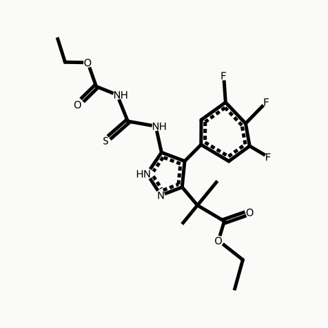 CCOC(=O)NC(=S)Nc1[nH]nc(C(C)(C)C(=O)OCC)c1-c1cc(F)c(F)c(F)c1